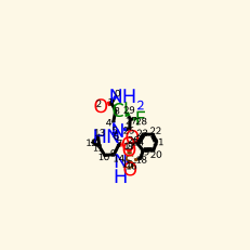 NC(=O)CCN(NC(=O)C(CC1CC1)NS(=O)(=O)Cc1ccccc1)C(=O)C(F)Cl